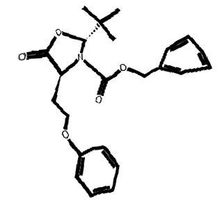 CC(C)(C)[C@H]1OC(=O)[C@H](CCOc2ccccc2)N1C(=O)OCc1ccccc1